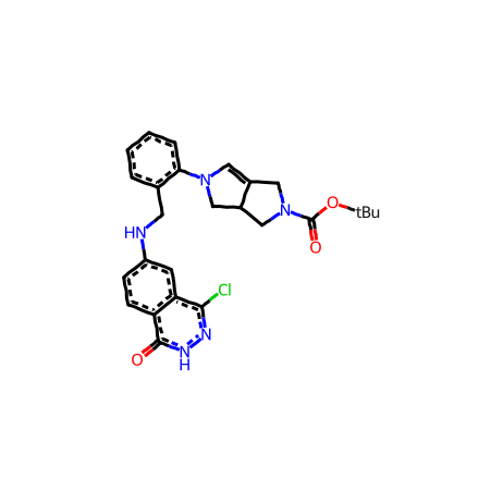 CC(C)(C)OC(=O)N1CC2=CN(c3ccccc3CNc3ccc4c(=O)[nH]nc(Cl)c4c3)CC2C1